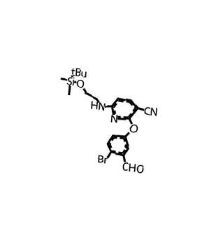 CC(C)(C)[Si](C)(C)OCCNc1ccc(C#N)c(Oc2ccc(Br)c(C=O)c2)n1